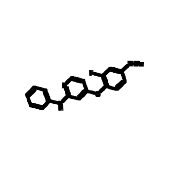 CC(=O)Nc1ccc(Oc2ccnc(Nc3ccccc3)c2)c(F)c1